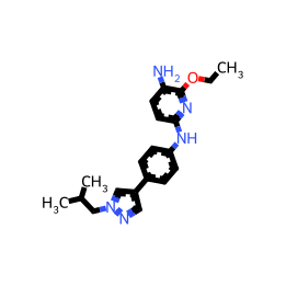 CCOc1nc(Nc2ccc(-c3cnn(CC(C)C)c3)cc2)ccc1N